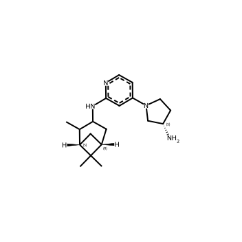 CC1C(Nc2cc(N3CC[C@H](N)C3)ccn2)C[C@H]2C[C@@H]1C2(C)C